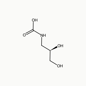 O=C(O)NC[C@@H](O)CO